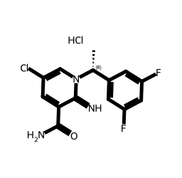 C[C@H](c1cc(F)cc(F)c1)n1cc(Cl)cc(C(N)=O)c1=N.Cl